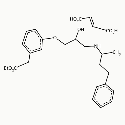 CCOC(=O)Cc1cccc(OCC(O)CNC(C)CCc2ccccc2)c1.O=C(O)C=CC(=O)O